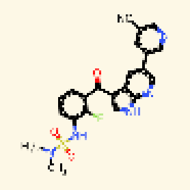 CN(C)S(=O)(=O)Nc1cccc(C(=O)c2c[nH]c3ncc(-c4cncc(C#N)c4)cc23)c1F